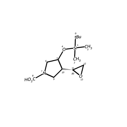 CC(C)(C)[Si](C)(C)OC1CN(C(=O)O)CC1[C@@H]1CO1